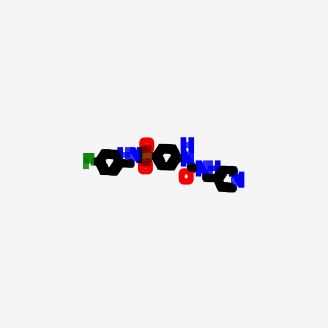 O=C(NCc1ccncc1)Nc1ccc(S(=O)(=O)NCc2ccc(F)cc2)cc1